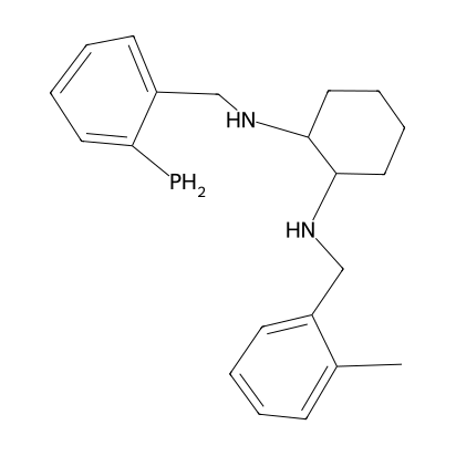 Cc1ccccc1CNC1CCCCC1NCc1ccccc1P